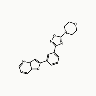 c1cc(-c2cn3ncccc3n2)cc(-c2noc(N3CCOCC3)n2)c1